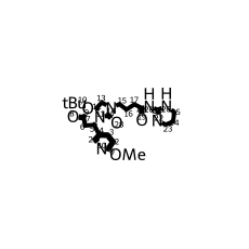 COc1ccc(C(CC(=O)OC(C)(C)C)N2CCN(CCCC(=O)NC3=NCCCN3)C2=O)cn1